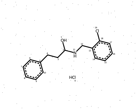 Cl.OC(CCc1ccccc1)NCc1ccccc1Cl